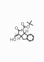 CC(C)(C)OC(=O)N1C(=O)/C(=C/O)[C@H]2Cc3ccccc3[C@H]21